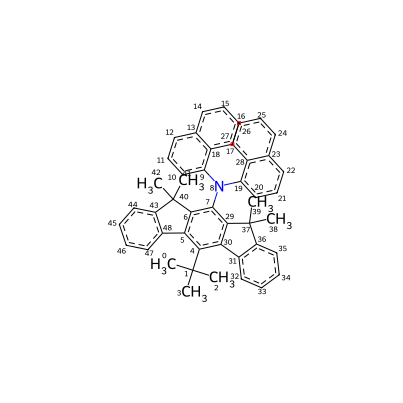 CC(C)(C)c1c2c(c(N(c3cccc4ccccc34)c3cccc4ccccc34)c3c1-c1ccccc1C3(C)C)C(C)(C)c1ccccc1-2